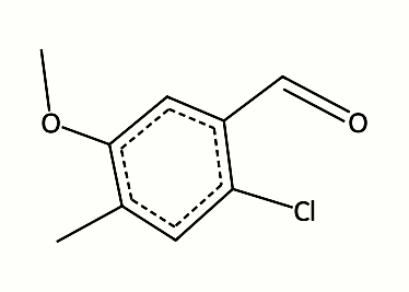 COc1cc(C=O)c(Cl)cc1C